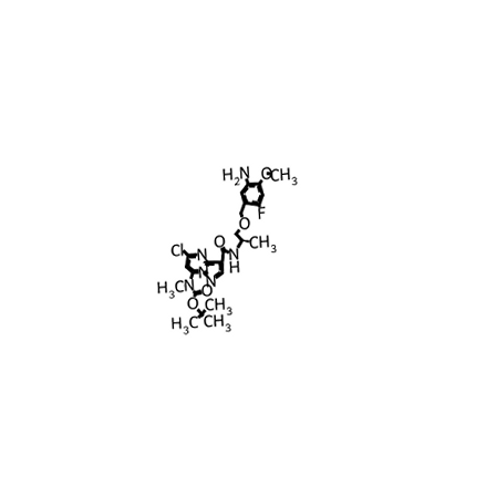 COc1cc(F)c(COC[C@@H](C)NC(=O)c2cnn3c(N(C)C(=O)OC(C)(C)C)cc(Cl)nc23)cc1N